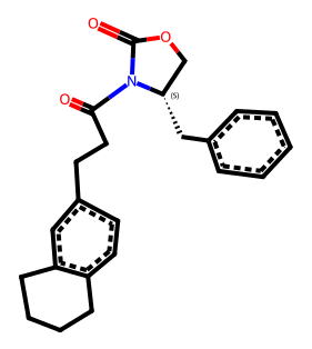 O=C(CCc1ccc2c(c1)CCCC2)N1C(=O)OC[C@@H]1Cc1ccccc1